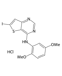 COc1ccc(OC)c(Nc2ncnc3cc(I)sc23)c1.Cl